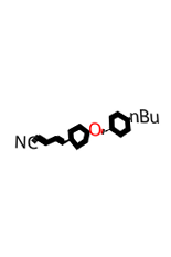 CCCC[C@H]1CC[C@H](CO[C@H]2CC[C@H](/C=C/C=C/C#N)CC2)CC1